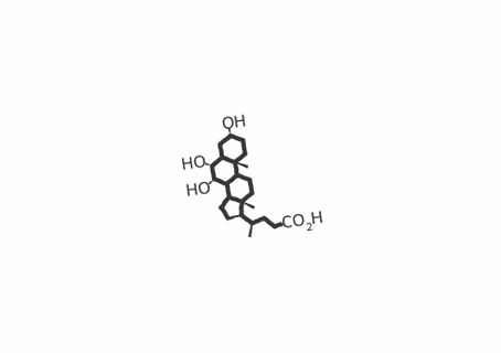 C[C@H](CCC(=O)O)[C@H]1CCC2C3C(CC[C@@]21C)[C@@]1(C)CC[C@@H](O)CC1[C@@H](O)[C@H]3O